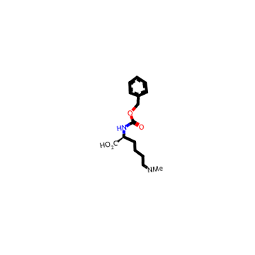 CNCCCC[C@H](NC(=O)OCc1ccccc1)C(=O)O